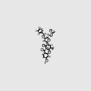 COc1ccc(C(=O)n2c(=O)c(F)cn([C@@H]3CC(OCc4cccs4)[C@H](COC(C)=O)O3)c2=O)cc1